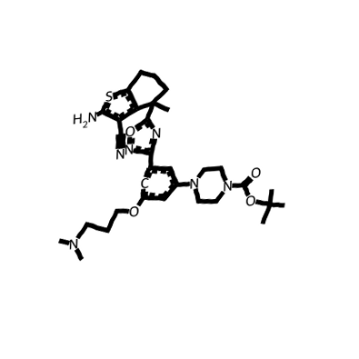 CN(C)CCCOc1cc(-c2noc(C3(C)CCCc4sc(N)c(C#N)c43)n2)cc(N2CCN(C(=O)OC(C)(C)C)CC2)c1